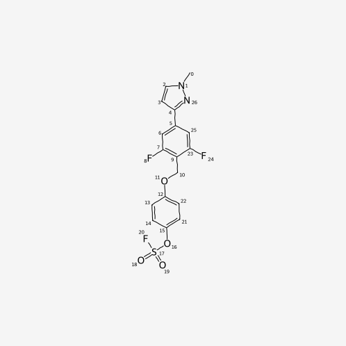 Cn1ccc(-c2cc(F)c(COc3ccc(OS(=O)(=O)F)cc3)c(F)c2)n1